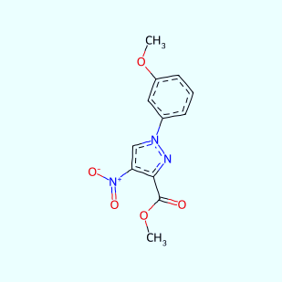 COC(=O)c1nn(-c2cccc(OC)c2)cc1[N+](=O)[O-]